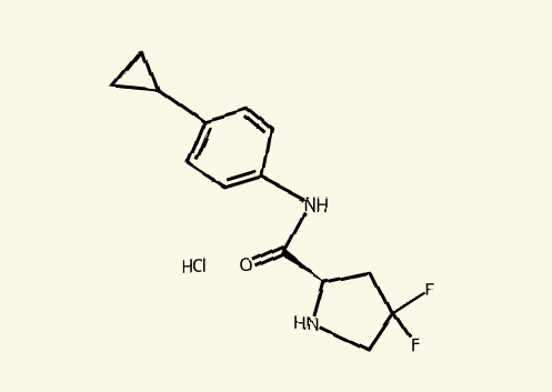 Cl.O=C(Nc1ccc(C2CC2)cc1)[C@H]1CC(F)(F)CN1